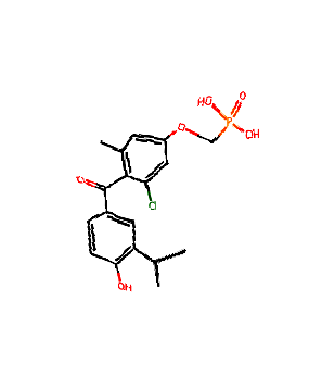 Cc1cc(OCP(=O)(O)O)cc(Cl)c1C(=O)c1ccc(O)c(C(C)C)c1